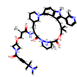 CCn1c(-c2cccnc2C(C)C)c2c3cc(ccc31)N1CCC[C@@H](C[C@H](NC(=O)[C@@H](COC3CN(C(=O)C#CC(C)(C)N(C)C)C3)C(C)C)C(=O)N3CCC[C@H](N3)C(=O)OCC(C)(C)C2)C1